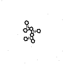 c1ccc(-n2c3ccccc3c3cc4c(cc32)c2c3c5ccccc5n(-c5ccccc5)c3ccc2n4-c2ccccc2)cc1